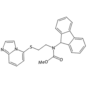 COC(=O)N(CCSc1cccc2nccn12)C1c2ccccc2-c2ccccc21